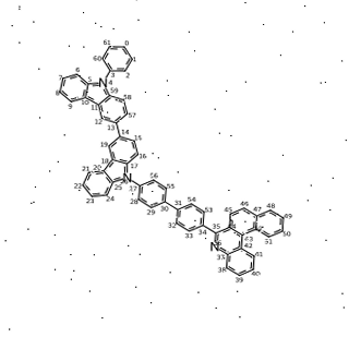 c1ccc(-n2c3ccccc3c3cc(-c4ccc5c(c4)c4ccccc4n5-c4ccc(-c5ccc(-c6nc7ccccc7c7c6ccc6ccccc67)cc5)cc4)ccc32)cc1